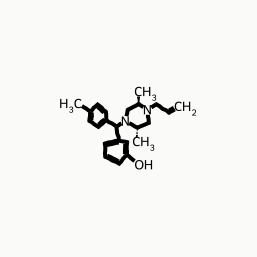 C=CCN1C[C@H](C)N(C(c2ccc(C)cc2)c2cccc(O)c2)C[C@H]1C